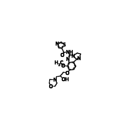 COc1c(OCC(O)CN2CCOCC2)ccc2c1N=C(NC(=O)c1cncs1)N1CCN=C21